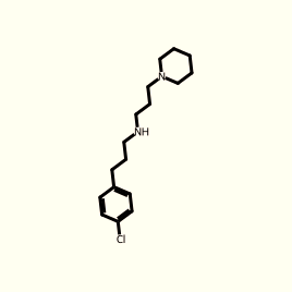 Clc1ccc(CCCNCCCN2CCCCC2)cc1